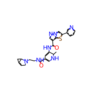 CC1NC=C(C(=O)NCCN2CC=C3CC32)C=C1NC(=O)c1cnn2cc(-c3cccnc3)sc12